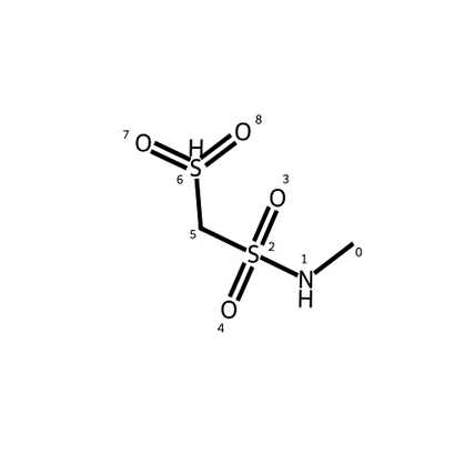 CNS(=O)(=O)C[SH](=O)=O